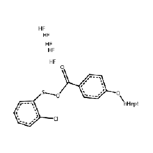 CCCCCCCOc1ccc(C(=O)OSc2ccccc2Cl)cc1.F.F.F.F.F